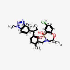 CCOC(=O)CC(c1ccc(C)c(CN2C[C@@H](C)Oc3ccc(Cl)cc3S2(O)O)c1)c1ccc2c(c1)nnn2C